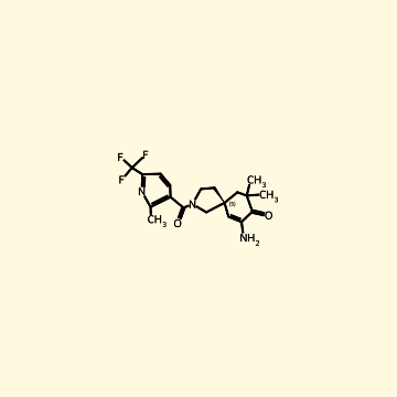 Cc1nc(C(F)(F)F)ccc1C(=O)N1CC[C@@]2(C=C(N)C(=O)C(C)(C)C2)C1